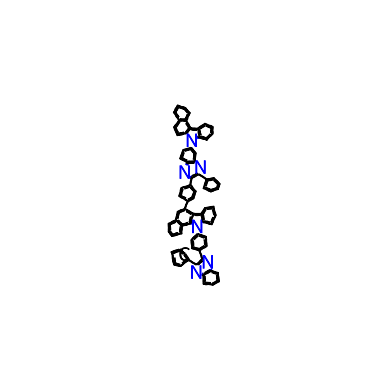 c1ccc(-c2nc3ccccc3nc2-c2ccc(-n3c4ccccc4c4c(-c5ccc(-c6nc7ccc(-n8c9ccccc9c9c%10ccccc%10ccc98)cc7nc6-c6ccccc6)cc5)cc5ccccc5c43)cc2)cc1